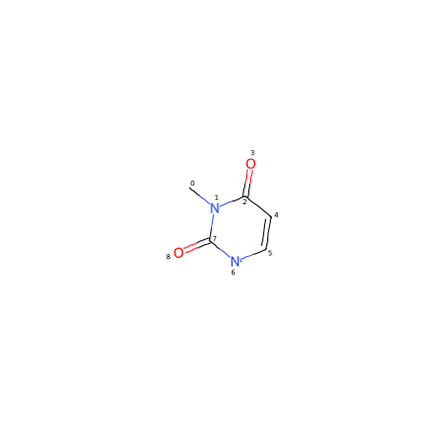 CN1C(=O)C=C[N]C1=O